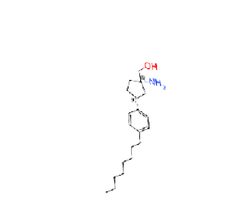 CCCCCCCCc1ccc([C@@H]2CC[C@@](N)(CO)C2)cc1